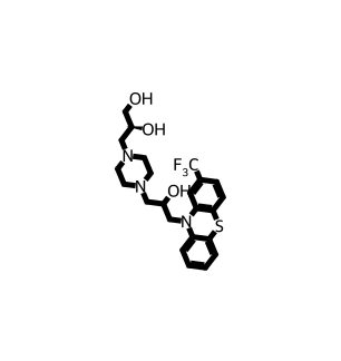 OC[C@@H](O)CN1CCN(CC(O)CN2c3ccccc3Sc3ccc(C(F)(F)F)cc32)CC1